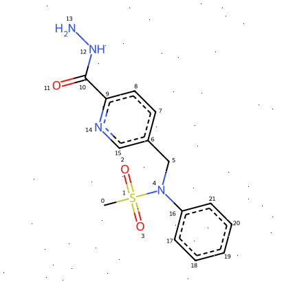 CS(=O)(=O)N(Cc1ccc(C(=O)NN)nc1)c1ccccc1